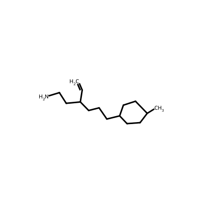 C=CC(CCN)CCCC1CCC(C)CC1